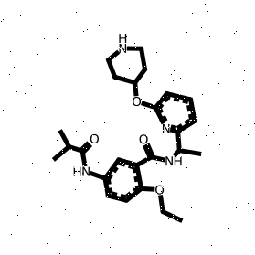 CCOc1ccc(NC(=O)C(C)C)cc1C(=O)NC(C)c1cccc(OC2CCNCC2)n1